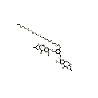 C=C1C[C@H]2C=Nc3cc(OCc4cc(/C=N\OCCOCCOCCOCCOCCOCCOCC)cc(COc5cc6c(cc5OC)C(=O)N5CC(=C)C[C@H]5C=N6)c4)c(OC)cc3C(=O)N2C1